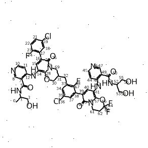 CC(CO)NC(=O)c1cnccc1Nc1cc(-c2cc(Cl)ccc2F)c(=O)n2c1OCC(Cc1cc(Cl)cc(-c3cc(Nc4ccncc4C(=O)NC(CO)CO)c4n(c3=O)CCC(F)(F)O4)c1F)C2